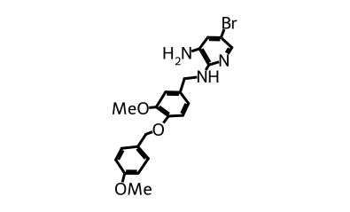 COc1ccc(COc2ccc(CNc3ncc(Br)cc3N)cc2OC)cc1